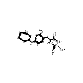 CC(C)(C)OC(=O)NC(Cc1ccc(Sc2ccccc2)cc1Cl)C(N)=O